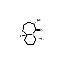 CC[C@@H]1CCC[C@@H]2SCC[C@H](N)C(=O)N12